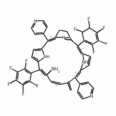 C=C1/C=C\C(N)=C(/c2c(F)c(F)c(F)c(F)c2F)c2ccc([nH]2)/C(c2ccncc2)=C2/CCC(=N2)/C(C2=C(F)C(F)=C(F)C(F)C2F)=c2/cc/c([nH]2)=C/1c1ccncc1